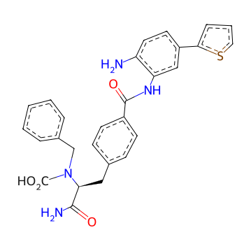 NC(=O)[C@H](Cc1ccc(C(=O)Nc2cc(-c3cccs3)ccc2N)cc1)N(Cc1ccccc1)C(=O)O